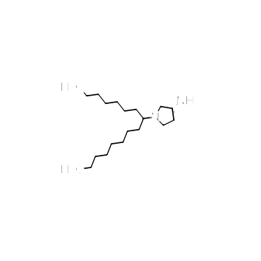 CCCCCCCCC(CCCCCCC)N1CC[C@@H](N)C1